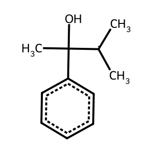 C[C](C)C(C)(O)c1ccccc1